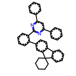 c1ccc(-c2cc(-c3ccccc3)nc(-c3ccccc3-c3ccc4c(c3)C3(CCCCC3)c3ccccc3-4)n2)cc1